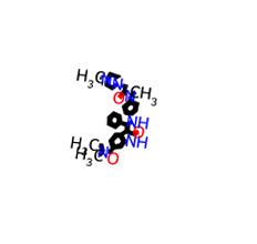 CCN(C)C(=O)c1ccc2c(c1)NC(=O)/C2=C(\Nc1ccc(N(C)C(=O)CN2CCN(C)CC2)cc1)c1ccccc1